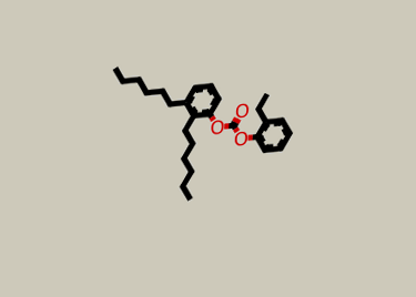 CCCCCCc1cccc(OC(=O)Oc2ccccc2CC)c1CCCCCC